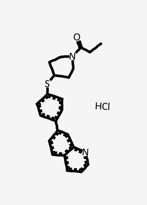 CCC(=O)N1CCC(Sc2ccc(-c3ccc4cccnc4c3)cc2)CC1.Cl